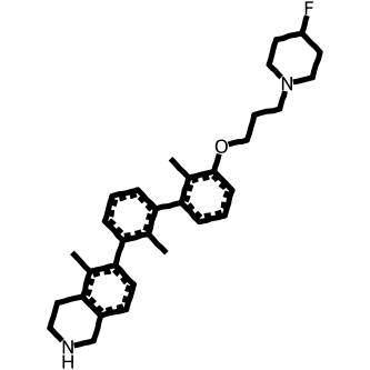 Cc1c(OCCCN2CCC(F)CC2)cccc1-c1cccc(-c2ccc3c(c2C)CCNC3)c1C